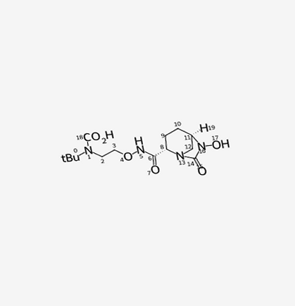 CC(C)(C)N(CCONC(=O)[C@@H]1CC[C@@H]2CN1C(=O)N2O)C(=O)O